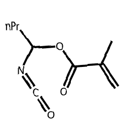 C=C(C)C(=O)OC(CCC)N=C=O